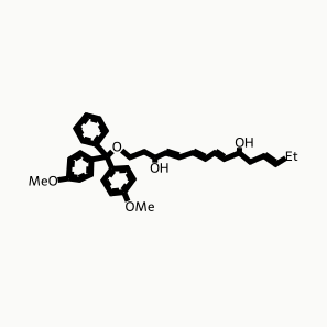 CCC=CCC(O)C=CC=CC=CC(O)CCOC(c1ccccc1)(c1ccc(OC)cc1)c1ccc(OC)cc1